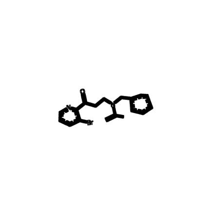 C=C(C)N(CCC(=O)c1ncccc1Br)Cc1ccccc1